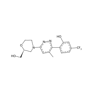 Cc1cc(N2CCO[C@H](CO)C2)nnc1-c1ccc(C(F)(F)F)cc1O